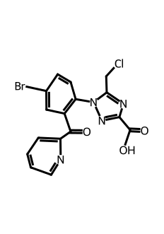 O=C(O)c1nc(CCl)n(-c2ccc(Br)cc2C(=O)c2ccccn2)n1